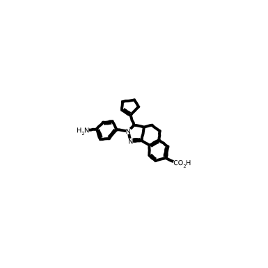 Nc1ccc(N2N=C3c4ccc(C(=O)O)cc4CCC3C2C2=CCCC2)cc1